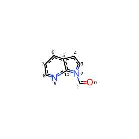 O=Cn1ccc2cccnc21